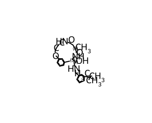 C[C@@H]1CC(=O)NCCCCOc2cccc(c2)C[C@@H]([C@H](O)CNCc2cccc(C(C)(C)C)c2)NC1=O